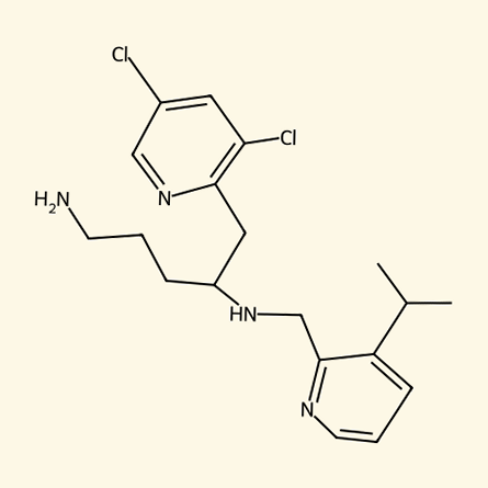 CC(C)c1cccnc1CNC(CCCN)Cc1ncc(Cl)cc1Cl